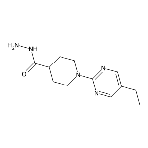 CCc1cnc(N2CCC(C(=O)NN)CC2)nc1